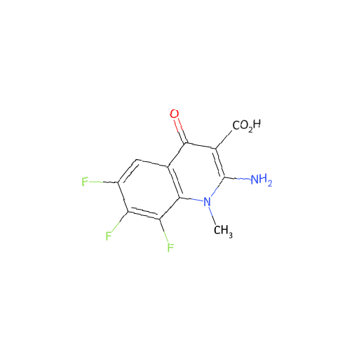 Cn1c(N)c(C(=O)O)c(=O)c2cc(F)c(F)c(F)c21